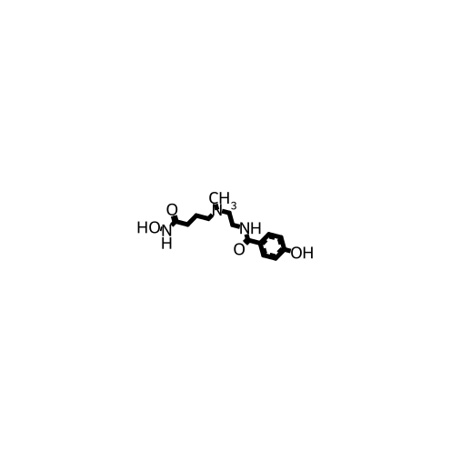 CN(CCCC(=O)NO)CCNC(=O)c1ccc(O)cc1